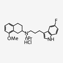 CCCN(CCCc1c[nH]c2ccc(F)cc12)C1CCc2cccc(OC)c2C1.Cl